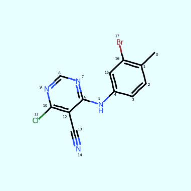 Cc1ccc(Nc2ncnc(Cl)c2C#N)cc1Br